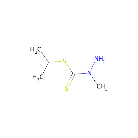 CC(C)SC(=S)N(C)N